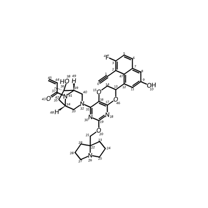 C#Cc1c(F)ccc2cc(O)cc(C3COc4c(nc(OCC56CCCN5CCC6)nc4N4C[C@@H]5C[C@@](C)(O)[C@H](C4)N5C(=O)C=C)O3)c12